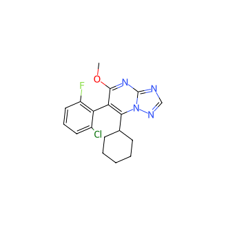 COc1nc2ncnn2c(C2CCCCC2)c1-c1c(F)cccc1Cl